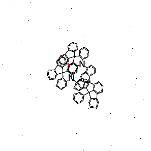 c1ccc(C2(c3ccccc3)c3ccccc3-c3cccc(-c4c5cccc(N6c7ccccc7C7(c8ccccc8-c8ccccc87)c7ccccc76)c5cc5c(N6c7ccccc7C7(c8ccccc8-c8ccccc87)c7ccccc76)cccc45)c32)cc1